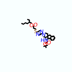 CCCCC(CC)COC(=O)CCSc1cnc(N2CCC3(CC2)Cc2ccccc2[C@H]3NC(=O)OC(C)(C)C)cn1